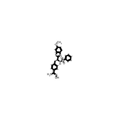 COc1ccc2nc([C@H](Cc3ccc(C(N)=NO)cc3)NS(=O)(=O)c3ccccc3)sc2c1